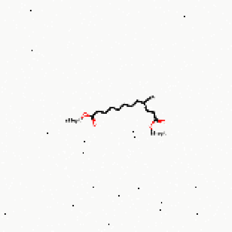 CCCCCCCOC(=O)CCCCCCCC(CCC(=O)OCCCCCCC)C(C)C